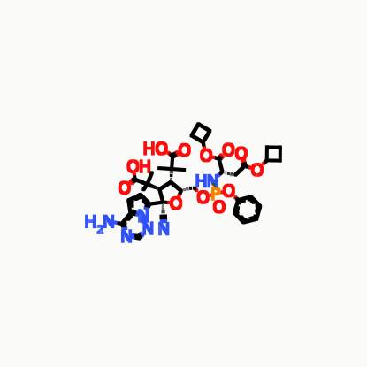 CC(C)(C(=O)O)[C@@H]1[C@H](CO[P@](=O)(N[C@@H](CC(=O)OC2CCC2)C(=O)OC2CCC2)Oc2ccccc2)O[C@@](C#N)(c2ccc3c(N)ncnn23)[C@H]1C(C)(C)C(=O)O